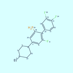 CCC1CCC(c2cc(F)c(-c3ccc(F)c(F)c3)c(P)c2)CC1